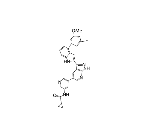 COc1cc(F)cc(-c2cccc3[nH]c(-c4n[nH]c5ncc(-c6cncc(NC(=O)C7CC7)c6)cc45)cc23)c1